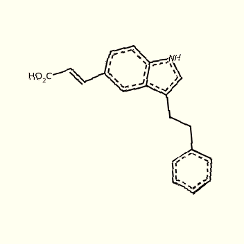 O=C(O)C=Cc1ccc2[nH]cc(CCc3ccccc3)c2c1